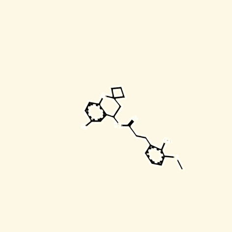 COc1cccc(CCC(=O)NC2CC3(CCC3)Oc3ccc(Cl)cc32)c1O